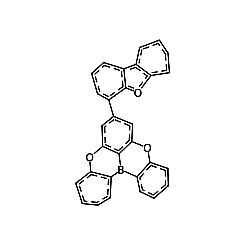 c1ccc2c(c1)Oc1cc(-c3cccc4c3oc3ccccc34)cc3c1B2c1ccccc1O3